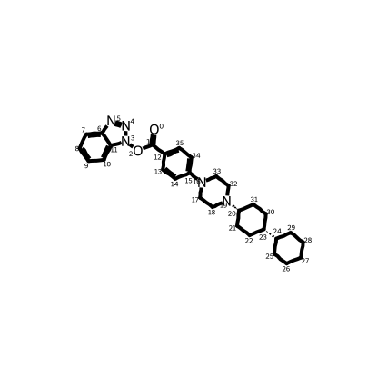 O=C(On1nnc2ccccc21)c1ccc(N2CCN([C@H]3CC[C@@H](C4CCCCC4)CC3)CC2)cc1